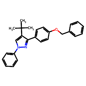 CC(C)(C)c1cn(-c2ccccc2)nc1-c1ccc(OCc2ccccc2)cc1